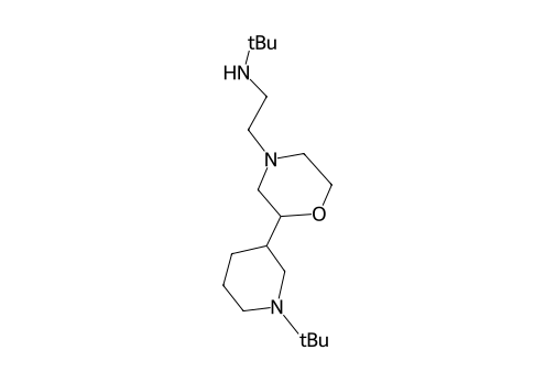 CC(C)(C)NCCN1CCOC(C2CCCN(C(C)(C)C)C2)C1